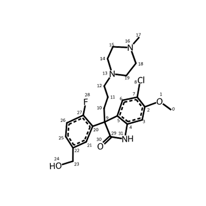 COc1cc2c(cc1Cl)C(CCCN1CCN(C)CC1)(c1cc(CO)ccc1F)C(=O)N2